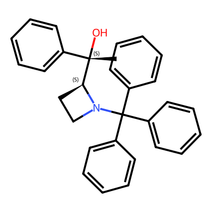 C[C@](O)(c1ccccc1)[C@@H]1CCN1C(c1ccccc1)(c1ccccc1)c1ccccc1